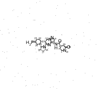 Cn1ccc(C(=O)Nc2cnn3ccc(N4CCC[C@@H]4c4cccc(P)c4)nc23)cc1=O